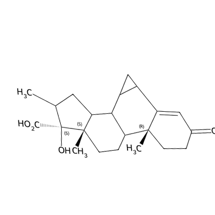 CC1CC2C3C4CC4C4=CC(=O)CC[C@]4(C)C3CC[C@]2(C)[C@]1(O)C(=O)O